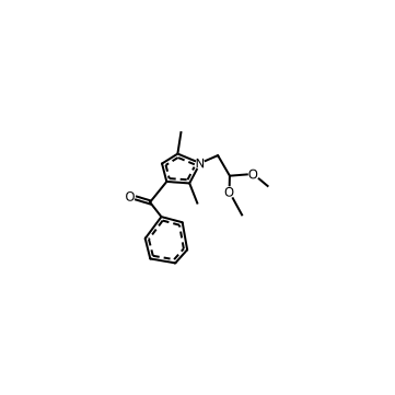 COC(Cn1c(C)cc(C(=O)c2ccccc2)c1C)OC